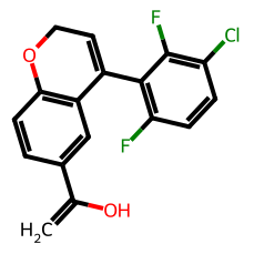 C=C(O)c1ccc2c(c1)C(c1c(F)ccc(Cl)c1F)=CCO2